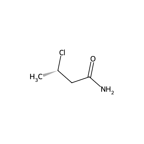 C[C@H](Cl)CC(N)=O